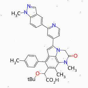 Cc1ccc(-c2c(C(OC(C)(C)C)C(=O)O)c(C)c3c4c2cc(-c2ccnc(-c5ccc6c(cnn6C)c5)c2)n4CC(=O)N3C)cc1